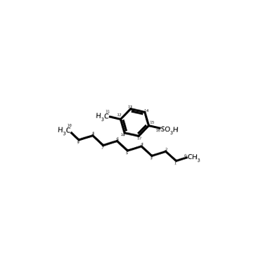 CCCCCCCCCCC.Cc1ccc(S(=O)(=O)O)cc1